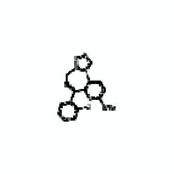 CNc1ccc2c(n1)C(c1ccccc1Cl)=NCc1nncn1-2